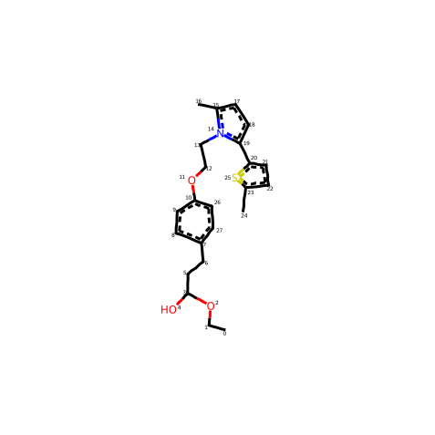 CCOC(O)CCc1ccc(OCCn2c(C)ccc2-c2ccc(C)s2)cc1